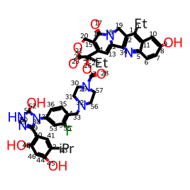 CCc1c2c(nc3ccc(O)cc13)-c1cc3c(c(=O)n1C2)COC(=O)C3(CC)OC(=O)N1CCN(Cc2ccc(N3C(c4cc(C(C)C)c(O)cc4O)=NNC3O)cc2F)CC1